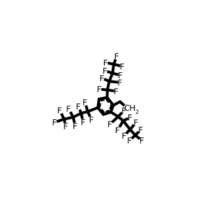 [CH2]Cc1c(C(F)(F)C(F)(F)C(F)(F)C(F)(F)F)cc(C(F)(F)C(F)(F)C(F)(F)C(F)(F)F)cc1C(F)(F)C(F)(F)C(F)(F)C(F)(F)F